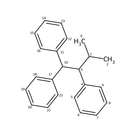 C[C](C)C(c1ccccc1)C(c1ccccc1)c1ccccc1